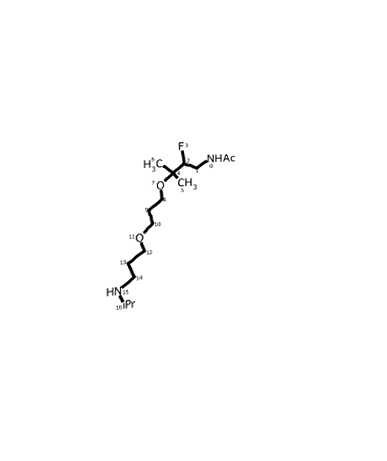 CC(=O)NCC(F)C(C)(C)OCCCOCCCNC(C)C